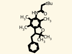 Cc1c(C)c2c(c(C)c1NC(=O)CC(C)(C)C)OC(C)(C)C2Cc1ccccc1